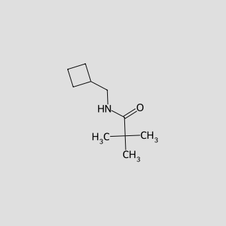 CC(C)(C)C(=O)NCC1CCC1